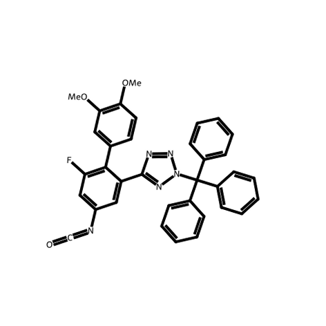 COc1ccc(-c2c(F)cc(N=C=O)cc2-c2nnn(C(c3ccccc3)(c3ccccc3)c3ccccc3)n2)cc1OC